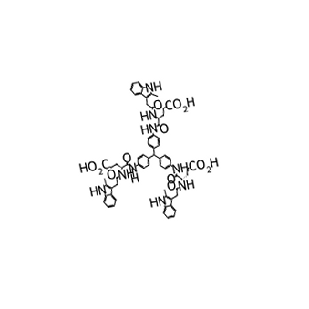 Cc1[nH]c2ccccc2c1CC(=O)N[C@@H](CCC(=O)O)C(=O)Nc1ccc(C(c2ccc(NC(=O)[C@H](CCC(=O)O)NC(=O)Cc3c(C)[nH]c4ccccc34)cc2)c2ccc(NC(=O)[C@H](CCC(=O)O)NC(=O)Cc3c(C)[nH]c4ccccc34)cc2)cc1